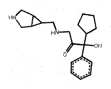 O=C(CNCC1C2CNCC12)C(O)(c1ccccc1)C1CCCC1